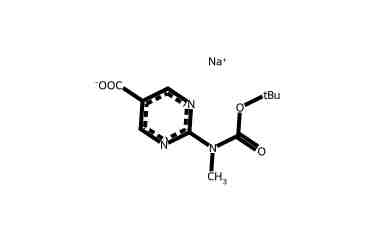 CN(C(=O)OC(C)(C)C)c1ncc(C(=O)[O-])cn1.[Na+]